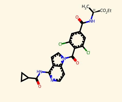 CCOC(=O)[C@H](C)NC(=O)c1cc(Cl)c(C(=O)n2ccc3c(NC(=O)C4CC4)nccc32)c(Cl)c1